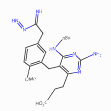 CCCCNc1nc(N)nc(CCC(=O)O)c1Cc1cc(CC(=N)N=N)ccc1OC